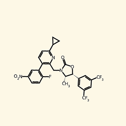 C[C@H]1[C@@H](c2cc(C(F)(F)F)cc(C(F)(F)F)c2)OC(=O)N1Cc1nc(C2CC2)ccc1-c1cc([N+](=O)[O-])ccc1F